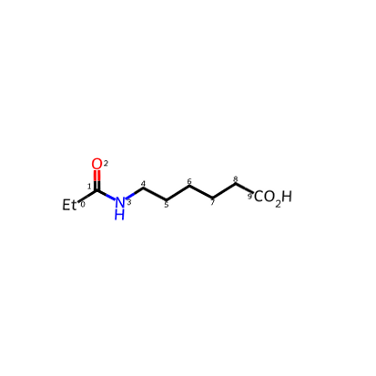 CCC(=O)NCCCCCC(=O)O